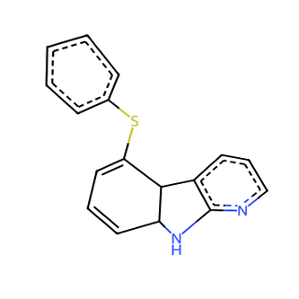 C1=CC2Nc3ncccc3C2C(Sc2ccccc2)=C1